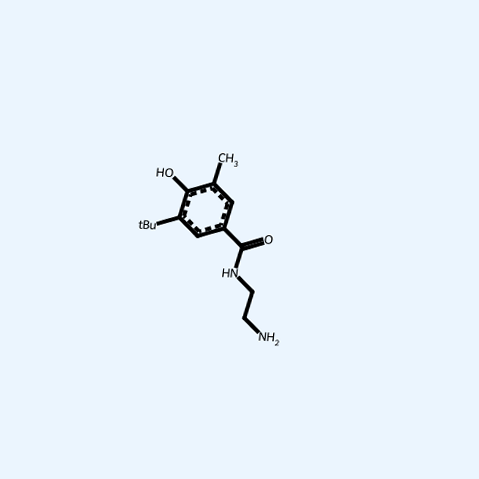 Cc1cc(C(=O)NCCN)cc(C(C)(C)C)c1O